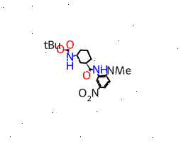 CNc1ccc([N+](=O)[O-])cc1NC(=O)[C@@H]1CCC[C@H](NC(=O)OC(C)(C)C)C1